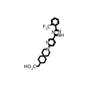 O=C(O)CC1CCC2(CC1)CCN(c1ccc(-c3nc(-c4ccccc4C(F)(F)F)n[nH]3)cn1)CC2